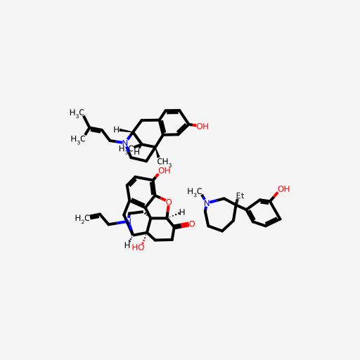 C=CCN1CC[C@]23c4c5ccc(O)c4O[C@H]2C(=O)CC[C@@]3(O)[C@H]1C5.CC(C)=CCN1CC[C@@]2(C)c3cc(O)ccc3C[C@@H]1[C@@H]2C.CCC1(c2cccc(O)c2)CCCCN(C)C1